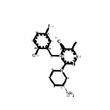 Cc1nnc(N2CCC[C@@H](N)C2)n(Cc2cc(F)ccc2Cl)c1=O